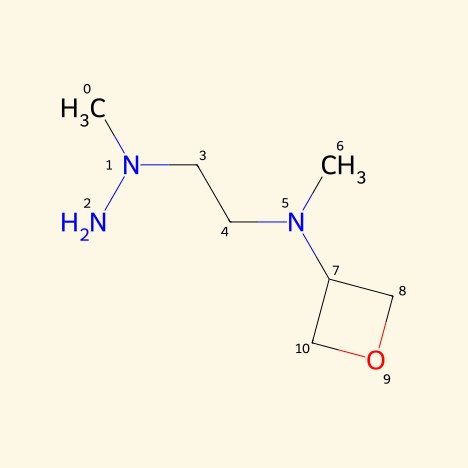 CN(N)CCN(C)C1COC1